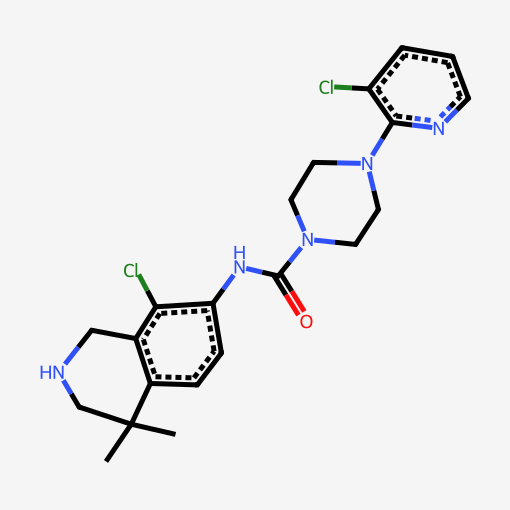 CC1(C)CNCc2c1ccc(NC(=O)N1CCN(c3ncccc3Cl)CC1)c2Cl